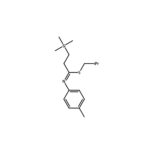 Cc1ccc(N=C(CC[Si](C)(C)C)SCC(C)C)cc1